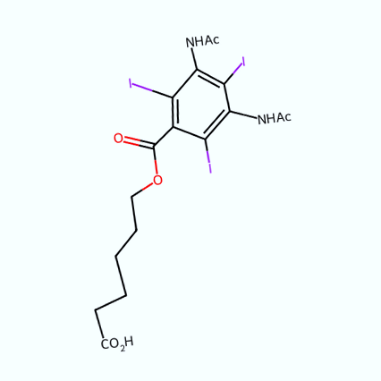 CC(=O)Nc1c(I)c(NC(C)=O)c(I)c(C(=O)OCCCCCC(=O)O)c1I